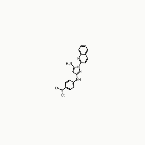 CCN(CC)c1ccc(Nc2nc(N)n(-c3ccc4ccccc4n3)n2)cc1